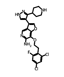 Nc1ncc2c(-c3c[nH]nc3C3CCNCC3)coc2c1OCCc1c(F)cc(Cl)cc1Cl